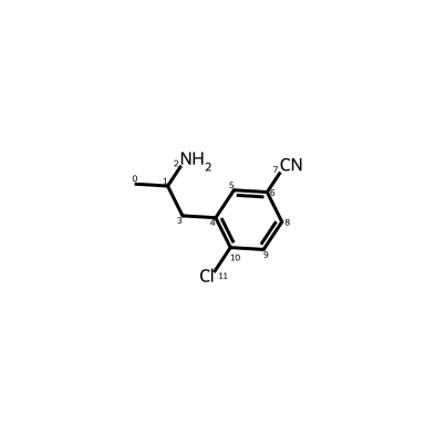 CC(N)Cc1cc(C#N)ccc1Cl